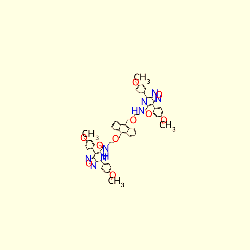 COc1ccc(-c2nc(C(=O)NCCOCc3c4ccccc4c(COCCNC(=O)c4nc(-c5ccc(OC)cc5)c5nonc5c4-c4ccc(OC)cc4)c4ccccc34)c(-c3ccc(OC)cc3)c3nonc23)cc1